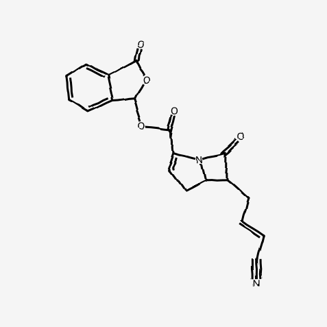 N#CC=CCC1C(=O)N2C(C(=O)OC3OC(=O)c4ccccc43)=CCC12